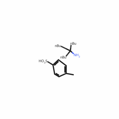 CCCCC(N)(CCCC)CCCC.Cc1ccc(S(=O)(=O)O)cc1